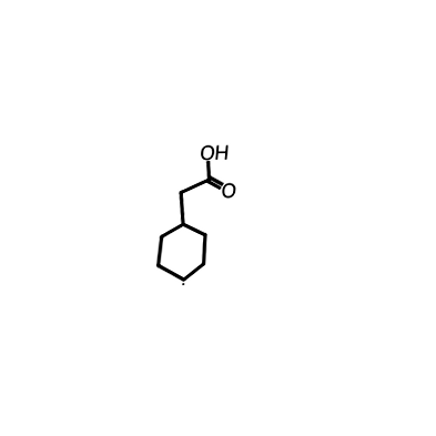 O=C(O)CC1CC[CH]CC1